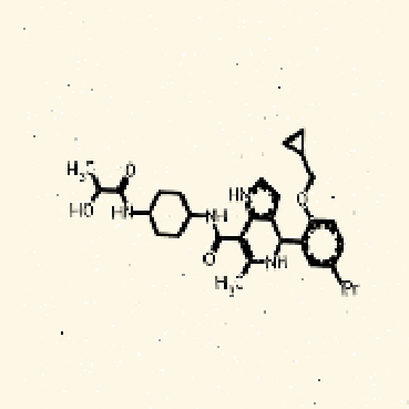 CC1=C(C(=O)NC2CCC(NC(=O)C(C)O)CC2)c2[nH]ccc2C(c2cc(C(C)C)ccc2OCC2CC2)N1